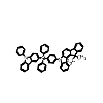 CC1(C)c2ccccc2-c2ccc3c(c21)c1ccccc1n3-c1ccc([Si](c2ccccc2)(c2ccccc2)c2ccc3c(c2)c2ccccc2n3-c2ccccc2)cc1